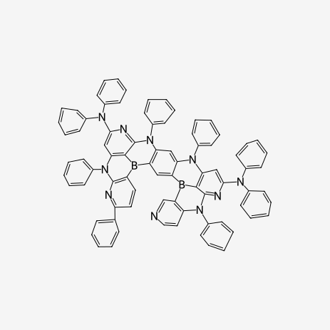 c1ccc(-c2ccc3c(n2)N(c2ccccc2)c2cc(N(c4ccccc4)c4ccccc4)nc4c2B3c2cc3c(cc2N4c2ccccc2)N(c2ccccc2)c2cc(N(c4ccccc4)c4ccccc4)nc4c2B3c2cnccc2N4c2ccccc2)cc1